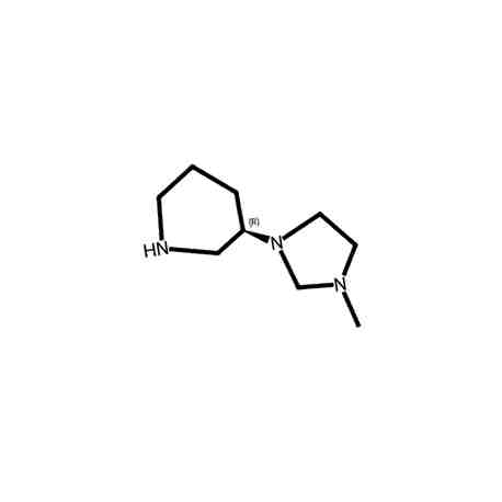 CN1CCN([C@@H]2CCCNC2)C1